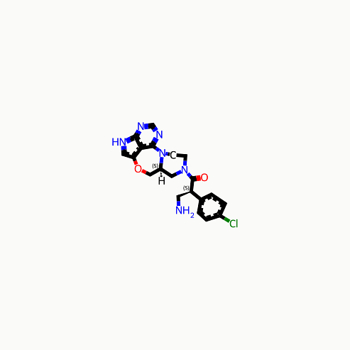 NC[C@@H](C(=O)N1CCN2c3ncnc4[nH]cc(c34)OC[C@@H]2C1)c1ccc(Cl)cc1